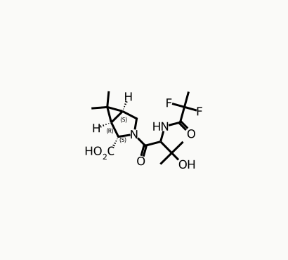 CC(F)(F)C(=O)NC(C(=O)N1C[C@H]2[C@@H]([C@H]1C(=O)O)C2(C)C)C(C)(C)O